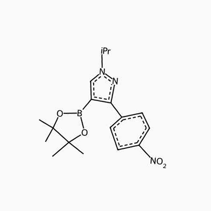 CC(C)n1cc(B2OC(C)(C)C(C)(C)O2)c(-c2ccc([N+](=O)[O-])cc2)n1